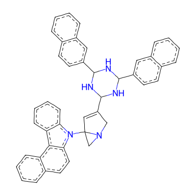 C1=C(C2NC(c3ccc4ccccc4c3)NC(c3ccc4ccccc4c3)N2)CN2CC12n1c2ccccc2c2c3ccccc3ccc21